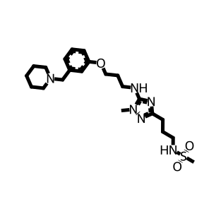 Cn1nc(CCCNS(C)(=O)=O)nc1NCCCOc1cccc(CN2CCCCC2)c1